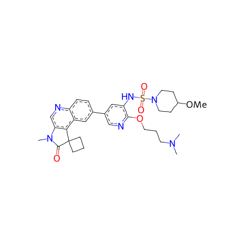 COC1CCN(S(=O)(=O)Nc2cc(-c3ccc4ncc5c(c4c3)C3(CCC3)C(=O)N5C)cnc2OCCCN(C)C)CC1